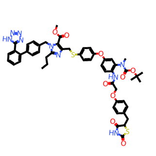 CCCc1nc(CSc2ccc(Oc3ccc(NC(=O)COc4ccc(CC5SC(=O)NC5=O)cc4)c(N(C)C(=O)OC(C)(C)C)c3)cc2)c(C(=O)OC)n1Cc1ccc(-c2ccccc2-c2nnn[nH]2)cc1